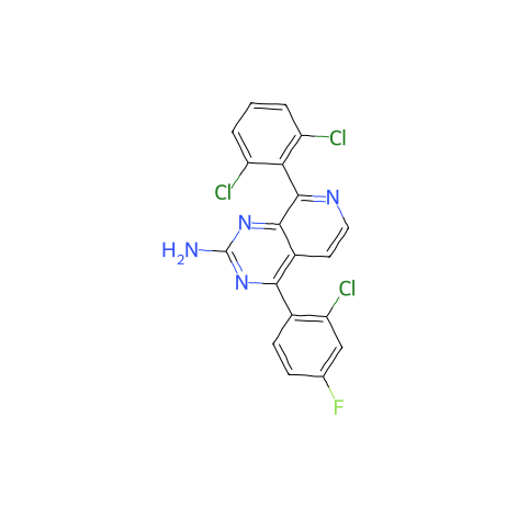 Nc1nc(-c2ccc(F)cc2Cl)c2ccnc(-c3c(Cl)cccc3Cl)c2n1